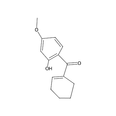 COc1ccc(C(=O)C2=CCCCC2)c(O)c1